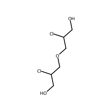 OCC(Cl)COCC(Cl)CO